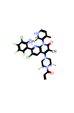 C=CC(=O)N1[C@H](C)CN(c2c(C#N)c(=O)n(C3=C(C)C=CN[C@@H]3C(C)C)c3nc(-c4c(N)c(Cl)c(F)c(F)c4F)c(Cl)cc23)C[C@@H]1C